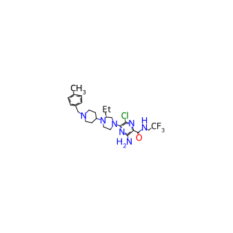 CC[C@H]1CN(c2nc(N)c(C(=O)NCC(F)(F)F)nc2Cl)CCN1C1CCN(Cc2ccc(C)cc2)CC1